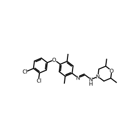 Cc1cc(Oc2ccc(Cl)c(Cl)c2)c(C)cc1N=CNN1CC(C)OC(C)C1